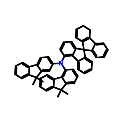 CC1(C)c2ccccc2-c2ccc(N(c3cccc4c3-c3ccccc3C4(C)C)c3cccc4c3-c3ccccc3C43C4=C(CCC=C4)c4ccccc43)cc21